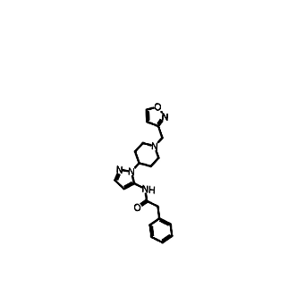 O=C(Cc1ccccc1)Nc1ccnn1C1CCN(Cc2ccon2)CC1